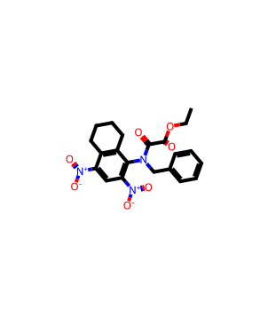 CCOC(=O)C(=O)N(Cc1ccccc1)c1c([N+](=O)[O-])cc([N+](=O)[O-])c2c1CCCC2